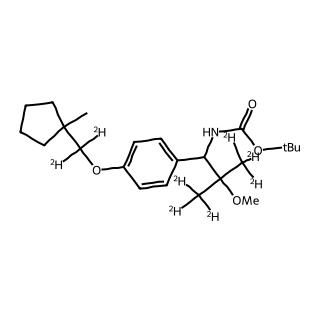 [2H]C([2H])([2H])C(OC)(C(NC(=O)OC(C)(C)C)c1ccc(OC([2H])([2H])C2(C)CCCC2)cc1)C([2H])([2H])[2H]